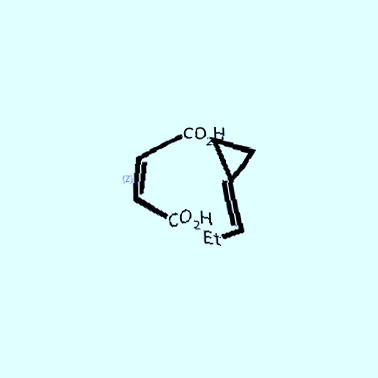 CCC=C1CC1.O=C(O)/C=C\C(=O)O